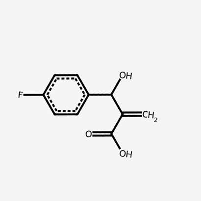 C=C(C(=O)O)C(O)c1ccc(F)cc1